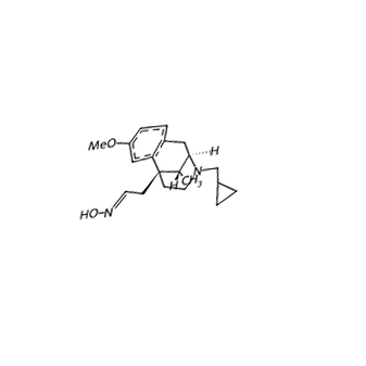 COc1ccc2c(c1)[C@@]1(C/C=N/O)CCN(CC3CC3)[C@H](C2)[C@@H]1C